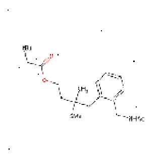 CSC(C)(CCOC(=O)CC(C)(C)C)Cc1ccccc1CNC(C)=O